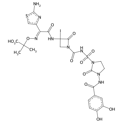 CC(C)(ON=C(C(=O)NC1(I)CN(C(=O)NS(=O)(=O)N2CCN(NC(=O)c3ccc(O)c(O)c3)C2=O)C1=O)c1csc(N)n1)C(=O)O